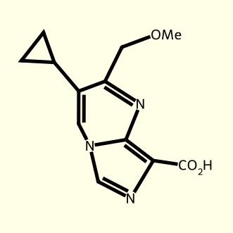 COCc1nc2c(C(=O)O)ncn2cc1C1CC1